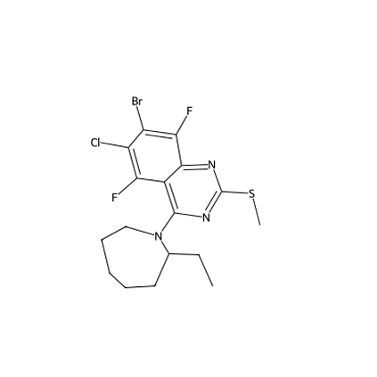 CCC1CCCCCN1c1nc(SC)nc2c(F)c(Br)c(Cl)c(F)c12